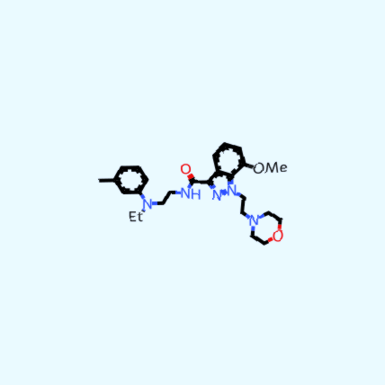 CCN(CCNC(=O)c1nn(CCN2CCOCC2)c2c(OC)cccc12)c1cccc(C)c1